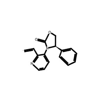 [CH]=Cc1ncccc1N1C(=O)OC[C@H]1c1ccccc1